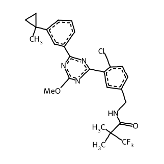 COc1nc(-c2cccc(C3(C)CC3)c2)nc(-c2cc(CNC(=O)C(C)(C)C(F)(F)F)ccc2Cl)n1